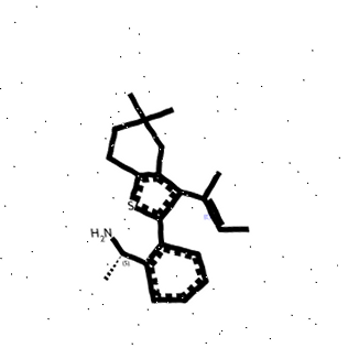 C/C=C(\C)c1c(-c2ccccc2[C@H](C)N)sc2c1CC(C)(C)CC2